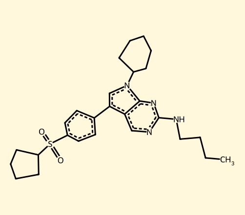 CCCCNc1ncc2c(-c3ccc(S(=O)(=O)C4CCCC4)cc3)cn(C3CCCCC3)c2n1